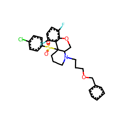 O=S(=O)(c1ccc(Cl)cc1)C12CCCN(CCCOCc3ccccc3)C1COc1c(F)ccc(F)c12